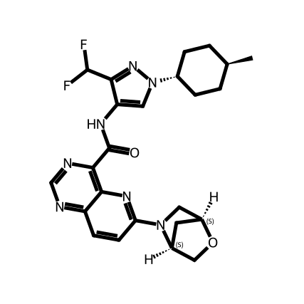 C[C@H]1CC[C@H](n2cc(NC(=O)c3ncnc4ccc(N5C[C@@H]6C[C@H]5CO6)nc34)c(C(F)F)n2)CC1